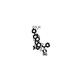 C=C(C)[C@@H]1CC[C@]2(NC(=O)C(c3ccccc3)N3CCS(=O)(=O)CC3)CC[C@]3(C)[C@H](CC[C@@H]4[C@@]5(C)CC=C(c6ccc(C(=O)O)cc6)C(C)(C)[C@@H]5CC[C@]43C)[C@@H]12